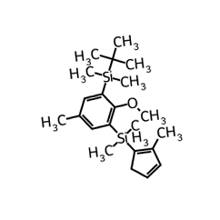 COc1c([Si](C)(C)C2=C(C)C=CC2)cc(C)cc1[Si](C)(C)C(C)(C)C